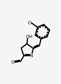 O=CC1=NC(=Cc2cccc(Cl)c2)C(O)C1